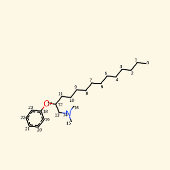 CCCCCCCCCCCCC(CN(C)C)Oc1ccccc1